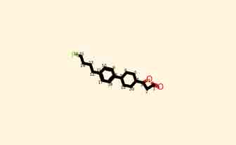 O=C1CC(C2CCC(c3ccc(CCCCF)cc3)CC2)O1